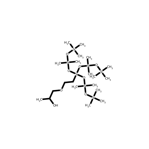 [CH2]C(O)COCC[Si](O[Si](C)(C)O[Si](C)(C)C)(O[Si](C)(C)O[Si](C)(C)C)O[Si](C)(C)O[Si](C)(C)C